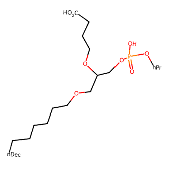 CCCCCCCCCCCCCCCCOCC(COP(=O)(O)OCCC)OCCCC(=O)O